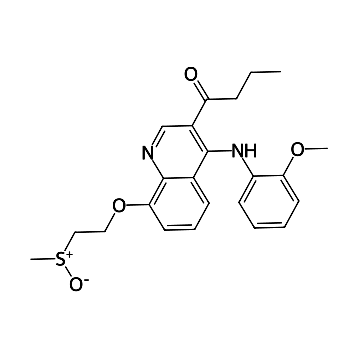 CCCC(=O)c1cnc2c(OCC[S+](C)[O-])cccc2c1Nc1ccccc1OC